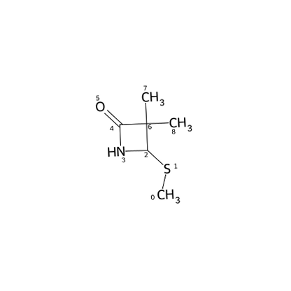 CSC1NC(=O)C1(C)C